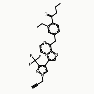 C#CCn1cc(-c2cnc3c(Cc4ccc(C(=O)CCC)c(CC)c4)nccn23)c(C(F)(F)F)n1